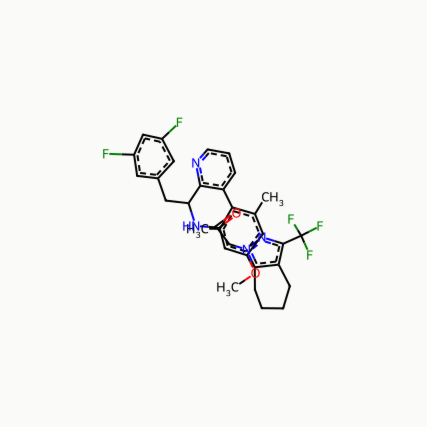 COc1cc(C)c(-c2cccnc2C(Cc2cc(F)cc(F)c2)NC(=O)Cn2nc(C(F)(F)F)c3c2CCCC3)c(C)c1